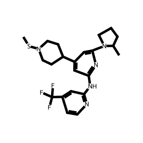 CSN1CCC(c2cc(Nc3cc(C(F)(F)F)ccn3)nc(N3CCCC3C)c2)CC1